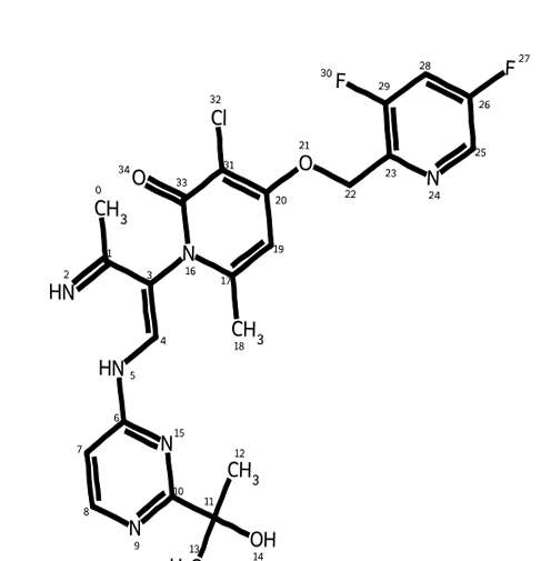 CC(=N)/C(=C\Nc1ccnc(C(C)(C)O)n1)n1c(C)cc(OCc2ncc(F)cc2F)c(Cl)c1=O